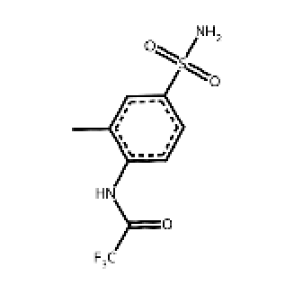 Cc1cc(S(N)(=O)=O)ccc1NC(=O)C(F)(F)F